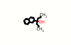 C=CCC(O)(CC=C)c1ccc2ccccc2c1